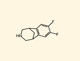 Fc1cc2c(cc1F)C1CNCC2C1